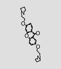 O=c1c2ccc(OCCN3CCC3)cc2oc2ccc(OCCN3CCC3)cc12